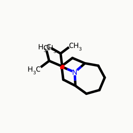 CC(C)CN1C2CCCCC1CC(C(C)C)C2